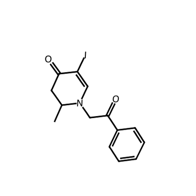 CC1CC(=O)C(I)=CN1CC(=O)c1ccccc1